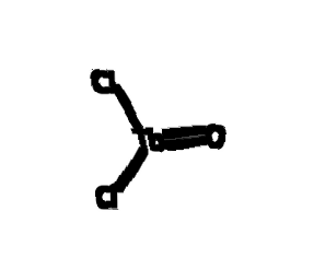 [O]=[Tb]([Cl])[Cl]